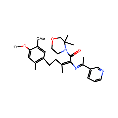 COc1cc(CC/C(C)=C(/N=C(\C)c2cccnc2)C(=O)N2CCOCC2(C)C)c(C)cc1OC(C)C